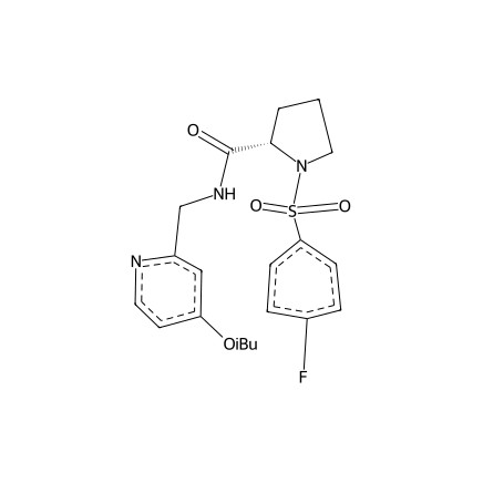 CC(C)COc1ccnc(CNC(=O)[C@@H]2CCCN2S(=O)(=O)c2ccc(F)cc2)c1